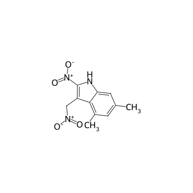 Cc1cc(C)c2c(C[N+](=O)[O-])c([N+](=O)[O-])[nH]c2c1